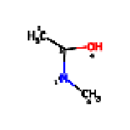 C[N]C(C)O